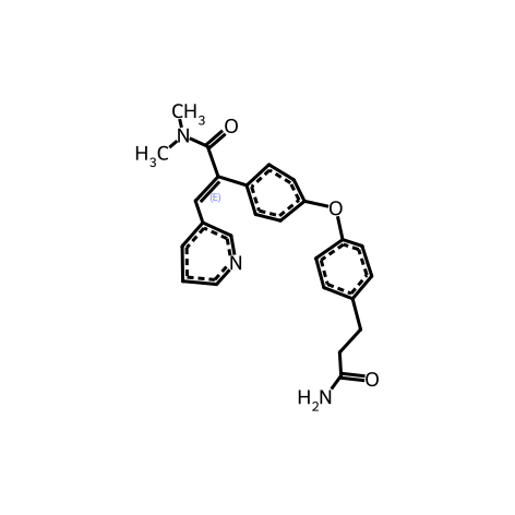 CN(C)C(=O)/C(=C/c1cccnc1)c1ccc(Oc2ccc(CCC(N)=O)cc2)cc1